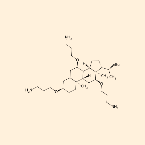 CCCC[C@@H](C)[C@H]1CC[C@H]2C3[C@H](OCCCN)CC4C[C@H](OCCCN)CC[C@]4(C)[C@H]3C[C@H](OCCCN)[C@]12C